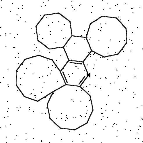 C1CCCc2nc3c(c4c2C(CCC1)CCCCCCC4)C1CCCCCCC1C1CCCCCCCC31